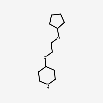 C1CCC(OCCOC2CCNCC2)C1